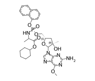 COc1nc(N)nc2c1ncn2C1O[C@H](COP(=O)(NC(C)C(=O)OC2CCCCC2)Oc2cccc3ccccc23)C[C@@]1(C)O